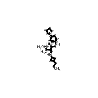 CCCC1CC(N/C=C(\C(C)NC)C2CNc3ccc(N4CCCC4)cc3N2)C1